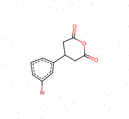 O=C1CC(c2cccc(Br)c2)CC(=O)O1